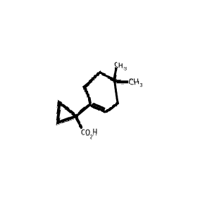 CC1(C)CC=C(C2(C(=O)O)CC2)CC1